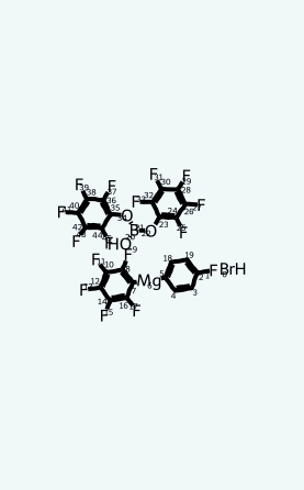 Br.Fc1cc[c]([Mg][c]2c(F)c(F)c(F)c(F)c2F)cc1.OB(Oc1c(F)c(F)c(F)c(F)c1F)Oc1c(F)c(F)c(F)c(F)c1F